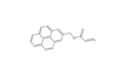 C=CC(=O)OCc1cc2ccc3cccc4ccc(c1)c2c34